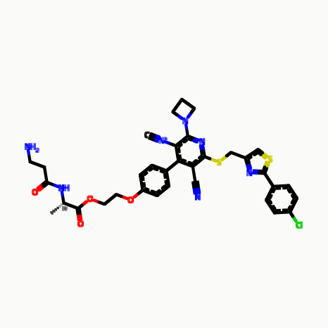 [C-]#[N+]c1c(N2CCC2)nc(SCc2csc(-c3ccc(Cl)cc3)n2)c(C#N)c1-c1ccc(OCCOC(=O)[C@H](C)NC(=O)CCN)cc1